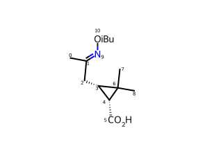 CC(C[C@H]1[C@@H](C(=O)O)C1(C)C)=NOCC(C)C